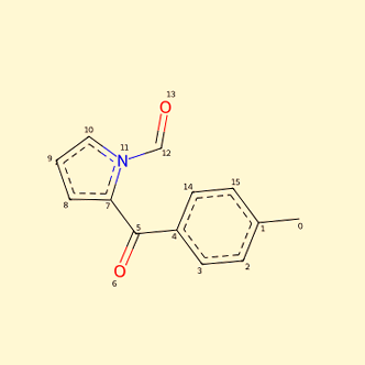 Cc1ccc(C(=O)c2c[c]cn2C=O)cc1